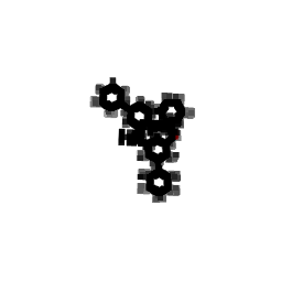 c1ccc(-c2cc3c4c(c2)-c2cccc[n+]2[PH]42c4c(cc(-c5ccccc5)cc4-c4cccc[n+]42)N3)cc1